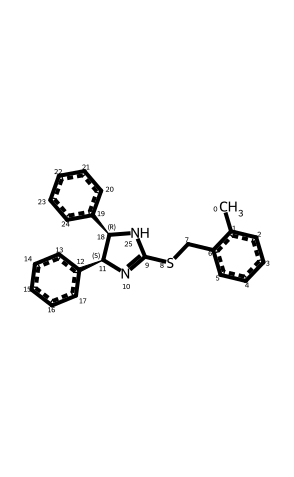 Cc1ccccc1CSC1=N[C@@H](c2ccccc2)[C@@H](c2ccccc2)N1